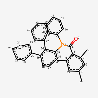 Cc1cc(C)c(C(=O)P(c2ccccc2)c2cccc(-c3ccccc3)c2-c2ccccc2)c(C)c1